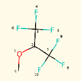 CO[C](C(F)(F)F)C(F)(F)F